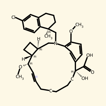 COc1ccc2cc1N(C[C@]1(C)CCCc3cc(Cl)ccc31)C[C@@H]1CC[C@H]1[C@@H](OC)/C=C/CCCCC[C@]2(O)C(=O)O